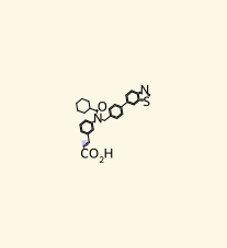 O=C(O)/C=C/c1cccc(N(Cc2ccc(-c3ccc4ncsc4c3)cc2)C(=O)C2CCCCC2)c1